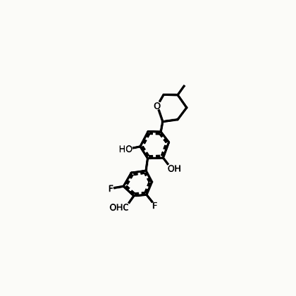 CC1CCC(c2cc(O)c(-c3cc(F)c(C=O)c(F)c3)c(O)c2)OC1